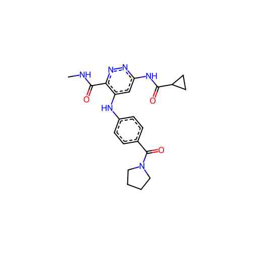 CNC(=O)c1nnc(NC(=O)C2CC2)cc1Nc1ccc(C(=O)N2CCCC2)cc1